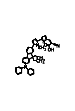 CCC1(CC)c2cc(-c3ccc(-c4ccc(C=C(C#N)C(=O)O)s4)n3C)ccc2-c2ccc(N(c3ccccc3)c3ccccc3)cc21